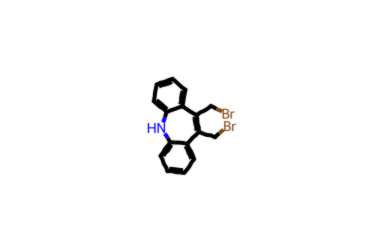 BrCC1=C(CBr)c2ccccc2Nc2ccccc21